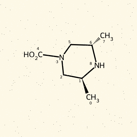 C[C@H]1CN(C(=O)O)C[C@H](C)N1